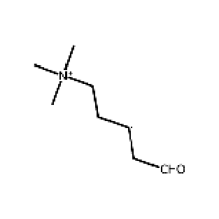 C[N+](C)(C)CC[CH]CC=O